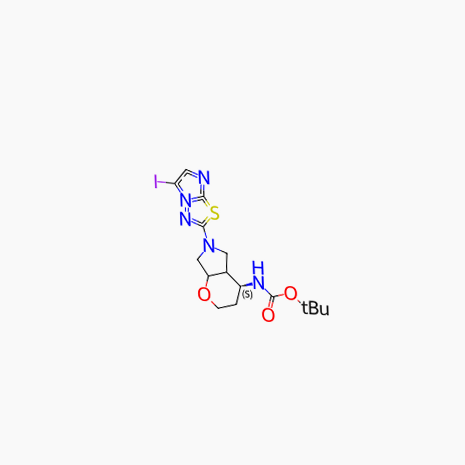 CC(C)(C)OC(=O)N[C@H]1CCOC2CN(c3nn4c(I)cnc4s3)CC21